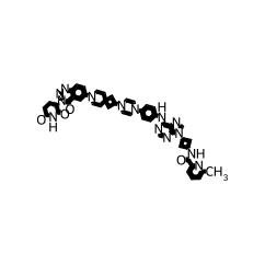 Cc1cccc(C(=O)NC2CC(n3cnc4c(Nc5ccc(N6CCN(C7CC8(CCN(c9ccc%10nnn([C@H]%11CCC(=O)NC%11=O)c(=O)c%10c9)CC8)C7)CC6)cc5)ncnc43)C2)n1